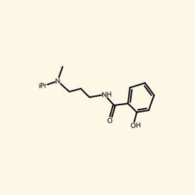 CC(C)N(C)CCCNC(=O)c1ccccc1O